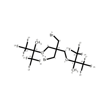 CC(OCC(CBr)(CBr)COC(C)(C(F)(F)F)C(F)(F)F)(C(F)(F)F)C(F)(F)F